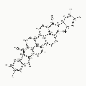 CC1=CC2N=c3c4ccc5c6ccc7c8c(ccc(c9ccc(c(=O)n3C2C=C1C)c4c95)c68)c(=O)n1c2cc(C)c(C)cc2nc71